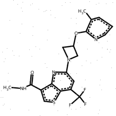 CNC(=O)c1csc2c(C(F)(F)F)cc(N3CC(Oc4ncccc4C)C3)nc12